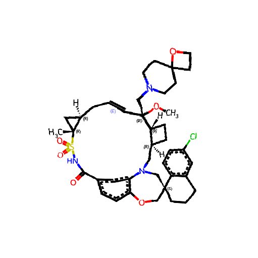 CO[C@@]1(CN2CCC3(CCO3)CC2)/C=C/C[C@@H]2C[C@@]2(C)S(=O)(=O)NC(=O)c2ccc3c(c2)N(C[C@@H]2CC[C@H]21)C[C@@]1(CCCc2cc(Cl)ccc21)CO3